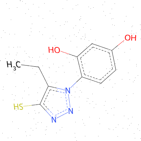 CCc1c(S)nnn1-c1ccc(O)cc1O